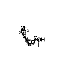 O=C(NO)c1ccc2c(c1)CC(CCCOCc1ccc(C(F)(F)F)cc1)C=N2